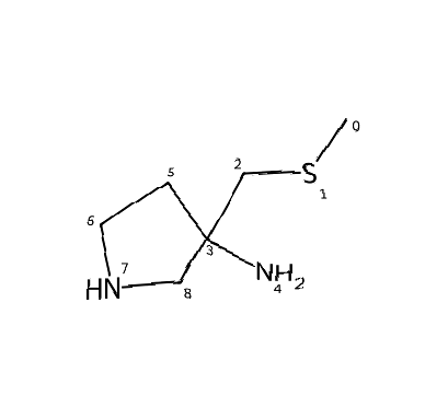 CSCC1(N)CCNC1